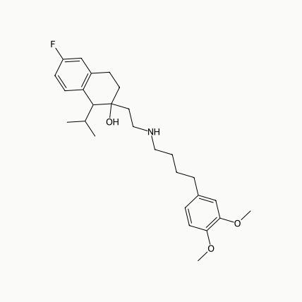 COc1ccc(CCCCNCCC2(O)CCc3cc(F)ccc3C2C(C)C)cc1OC